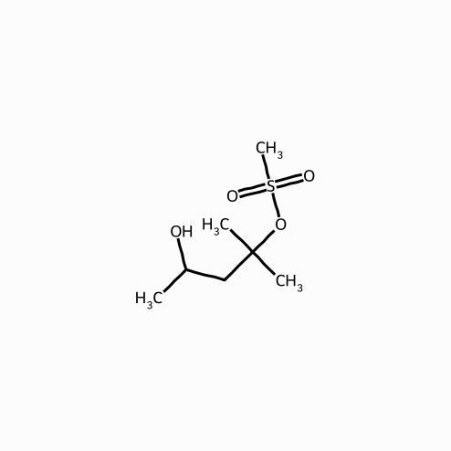 CC(O)CC(C)(C)OS(C)(=O)=O